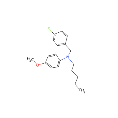 CCCCCN(Cc1ccc(F)cc1)c1ccc(OC)cc1